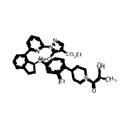 CCOC(=O)c1cnn(-c2cccc(-c3cccc4c3[C@@H](Oc3ccc(C5CCN(C(=O)[C@H](C)O)CC5)c(CC)c3)CC4)n2)c1OC